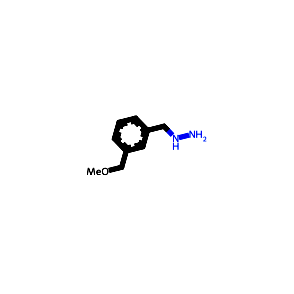 COCc1cccc(CNN)c1